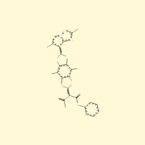 CC(=O)C(C(=O)Nc1ccccc1)=C1Sc2c(O)c3c(c(O)c2S1)SC(=c1c(C)nn2nc(C)nc12)S3